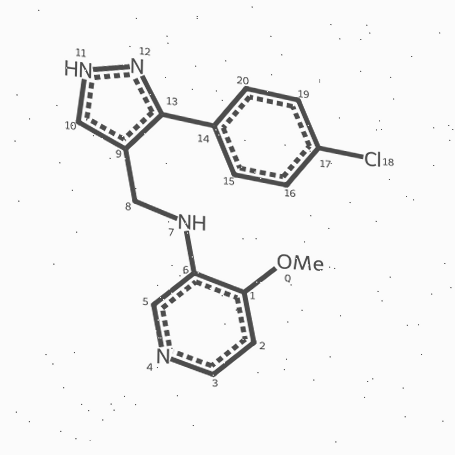 COc1ccncc1NCc1c[nH]nc1-c1ccc(Cl)cc1